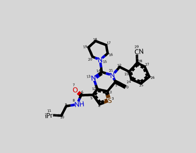 C=C1c2scc(C(=O)NCCC(C)C)c2N=C(N2CCCCC2)N1Cc1ccccc1C#N